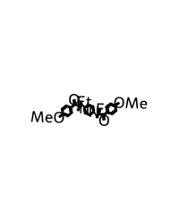 CCC(C)(C(=O)c1ccc(OC)cc1)N1CCN(C(C)(CC)C(=O)c2ccc(OC)cc2)CC1